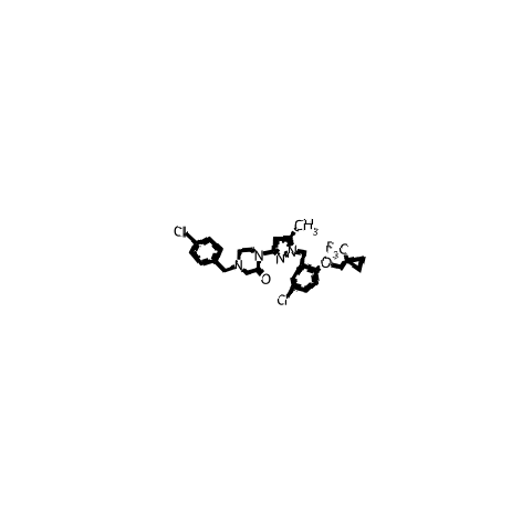 Cc1cc(N2CCN(Cc3ccc(Cl)cc3)CC2=O)nn1Cc1cc(Cl)ccc1OCC1(C(F)(F)F)CC1